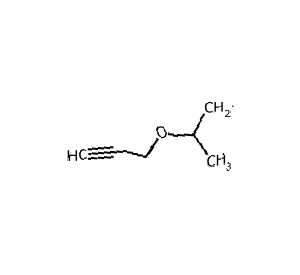 C#CCOC([CH2])C